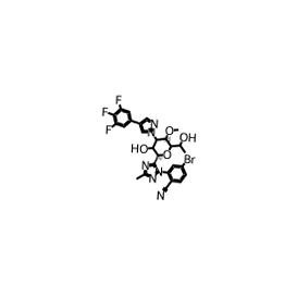 CO[C@H]1C(C(C)O)O[C@@H](c2nc(C)nn2-c2cc(Br)ccc2C#N)C(O)C1n1cc(-c2cc(F)c(F)c(F)c2)cn1